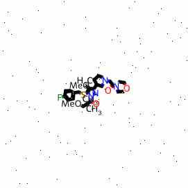 COCC(C)(C)C(=O)n1nc(C2CN(CC(=O)N3CCOCC3)CCC2C)c(OC)c1SCc1ccc(F)cc1